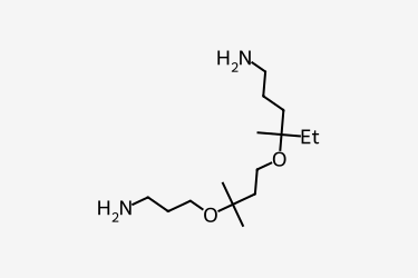 CCC(C)(CCCN)OCCC(C)(C)OCCCN